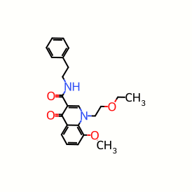 CCOCCn1cc(C(=O)NCCc2ccccc2)c(=O)c2cccc(OC)c21